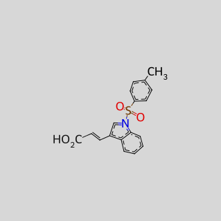 Cc1ccc(S(=O)(=O)n2cc(/C=C/C(=O)O)c3ccccc32)cc1